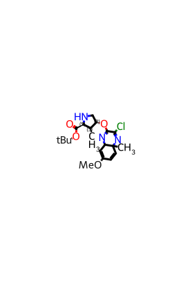 COC1=CC2N=C(O[C@H]3CN[C@H](C(=O)OC(C)(C)C)[C@@H]3C)C(Cl)=NC2(C)C=C1